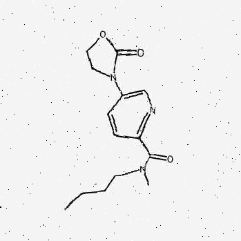 CCCCN(C)C(=O)c1ccc(N2CCOC2=O)cn1